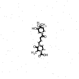 CC1C(=O)N(CCCC(=O)N2CCC(C)(C)C(O)C2)CCN1C(=O)O